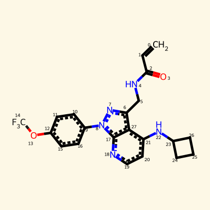 C=CC(=O)NCc1nn(-c2ccc(OC(F)(F)F)cc2)c2nccc(NC3CCC3)c12